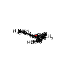 Cc1ncsc1-c1ccc(CNC(=O)[C@@H]2C[C@@H](O)CN2C(=O)[C@@H](NC(=O)CCCCCCCCCOC[C@@H](N)CCC(N)=O)C(C)(C)C)cc1.Cl